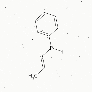 C/C=C/P(I)c1ccccc1